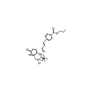 C/C=C1\[C@H]2C=C(C)C[C@]1(N=CC=Cc1ccc(C(=O)OCCC)cc1)c1ccc(=O)[nH]c1C2